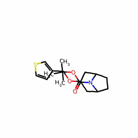 CC(C)(C)OC(=O)N1C2CCC1CC(OCc1ccsc1)C2